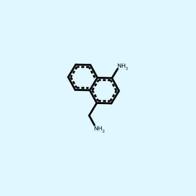 NCc1ccc(N)c2ccccc12